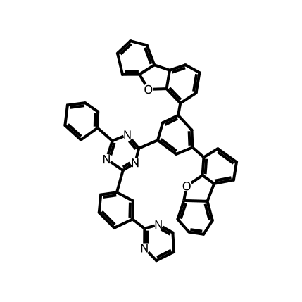 c1ccc(-c2nc(-c3cccc(-c4ncccn4)c3)nc(-c3cc(-c4cccc5c4oc4ccccc45)cc(-c4cccc5c4oc4ccccc45)c3)n2)cc1